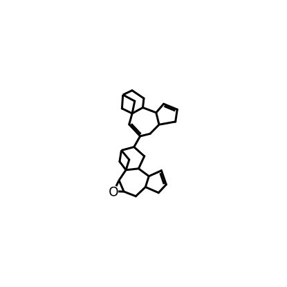 C1=CC2C(C1)CC(C1CC3C4C=CCC4CC4OC4C34CC1C4)=CC13CC(CCC21)C3